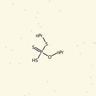 CCCOP(=S)(S)SCCC